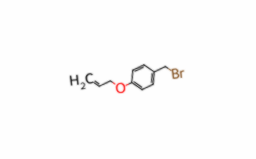 C=CCOc1ccc(CBr)cc1